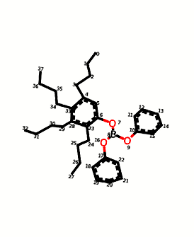 CCCCc1cc(OB(Oc2ccccc2)Oc2ccccc2)c(CCCC)c(CCCC)c1CCCC